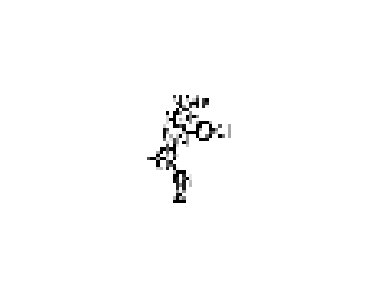 CNc1nc2nc(N3CC(C)OC(c4cnn(C5CC5)c4)C3)nc(-c3ccc(Cl)cc3F)c2s1